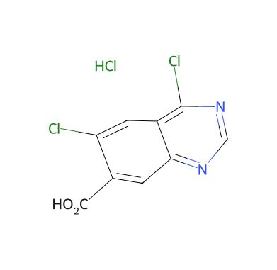 Cl.O=C(O)c1cc2ncnc(Cl)c2cc1Cl